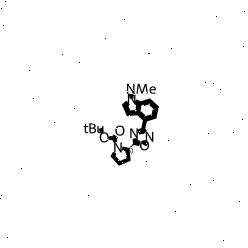 CNn1ccc2c(-c3noc([C@@H]4CCCN4C(=O)OC(C)(C)C)n3)cccc21